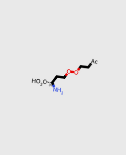 CC(=O)CCOOCC[C@H](N)C(=O)O